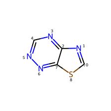 [c]1nc2ncnnc2s1